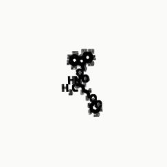 CC(CCCCOC1CCCCO1)NC(=O)OCC1c2ccccc2-c2ccccc21